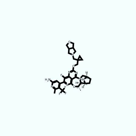 Cc1nc(N)cc(-c2nc3c4c(nc(OCC5(CN6CC7COCC7C6)CC5)nc4c2F)N2C[C@H]4CC[C@H](N4)[C@H]2[C@H](C)O3)c1C(F)(F)F